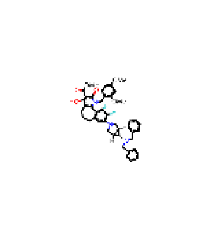 COC(=O)c1c(O)c2c(n(Cc3ccc(OC)cc3OC)c1=O)-c1c(cc(N3C[C@@H]4[C@H](C3)[C@H]4N(Cc3ccccc3)Cc3ccccc3)c(F)c1F)CCC2